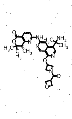 C[C@@H]1c2nc(Nc3cc4c(C(C)(C)N)cnc(OC5CN(C(=O)C6COC6)C5)c4cn3)ccc2C(=O)OC1(C)C